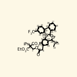 CCOC(=O)C(COC(=O)Cc1ccc(NC(=O)c2ccccc2-c2ccc(C(F)(F)F)cc2)c(C(=O)N(C)C)c1)(C(=O)OCC)C(C)C